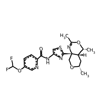 CC1=N[C@@]2(c3nc(NC(=O)c4ccc(OC(F)F)cn4)cs3)CO[C@@H](C)C[C@H]2[C@@H](C)O1